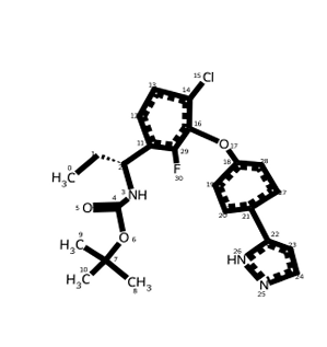 CC[C@@H](NC(=O)OC(C)(C)C)c1ccc(Cl)c(Oc2ccc(-c3ccn[nH]3)cc2)c1F